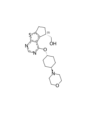 OC[C@H]1CCc2sc3ncnc(O[C@H]4CC[C@H](N5CCOCC5)CC4)c3c21